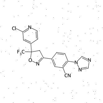 N#Cc1cc(C2=NOC(c3ccnc(Cl)c3)(C(F)(F)F)C2)ccc1-n1cncn1